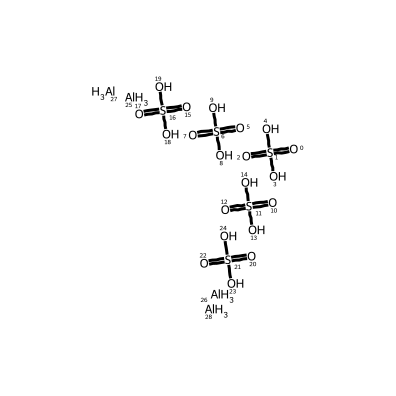 O=S(=O)(O)O.O=S(=O)(O)O.O=S(=O)(O)O.O=S(=O)(O)O.O=S(=O)(O)O.[AlH3].[AlH3].[AlH3].[AlH3]